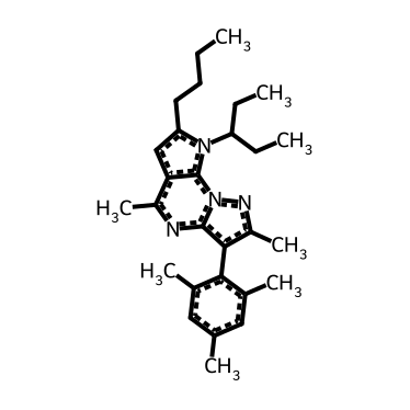 CCCCc1cc2c(C)nc3c(-c4c(C)cc(C)cc4C)c(C)nn3c2n1C(CC)CC